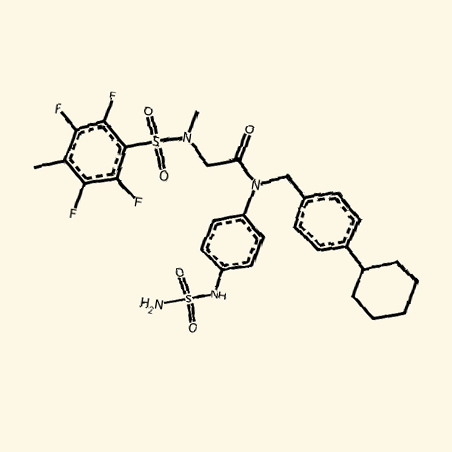 Cc1c(F)c(F)c(S(=O)(=O)N(C)CC(=O)N(Cc2ccc(C3CCCCC3)cc2)c2ccc(NS(N)(=O)=O)cc2)c(F)c1F